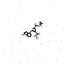 CCNC(=O)c1cc(Cc2cccc3[nH]ccc23)nc(C(=O)NC2CC2)c1